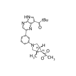 CC(C)(C)C(=O)c1c[nH]c2ncc(-c3cccc(N4C[C@@H]5[C@@H](S(C)(=O)=O)[C@]5(C)C4)c3)nc12